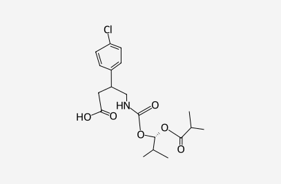 CC(C)C(=O)O[C@@H](OC(=O)NCC(CC(=O)O)c1ccc(Cl)cc1)C(C)C